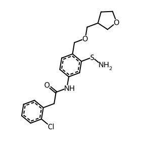 NSc1cc(NC(=O)Cc2ccccc2Cl)ccc1COCC1CCOC1